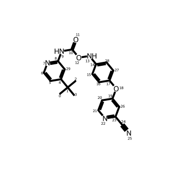 CC(C)(C)c1ccnc(NC(=O)ONc2ccc(Oc3ccnc(C#N)c3)cc2)c1